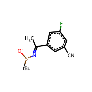 CC(=N[S+]([O-])C(C)(C)C)c1cc(F)cc(C#N)c1